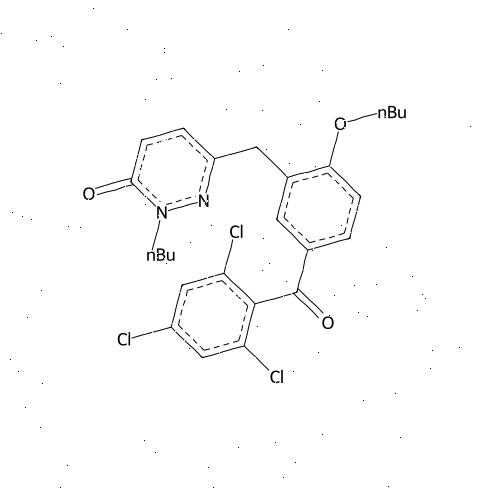 CCCCOc1ccc(C(=O)c2c(Cl)cc(Cl)cc2Cl)cc1Cc1ccc(=O)n(CCCC)n1